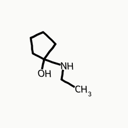 CCNC1(O)CCCC1